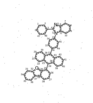 c1ccc(-c2nc3ccccc3n2-c2ccc(-c3c4ccccc4c(-c4cccc5c4oc4ccccc45)c4ccccc34)cc2)cc1